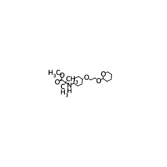 COC(=O)C(C)(C)N[C@H]1CC[C@H](OCCOC2CCCCO2)CC1